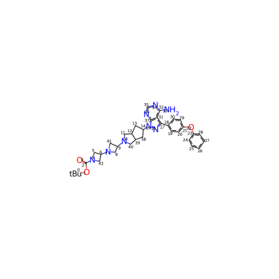 CC(C)(C)OC(=O)N1CC(N2CC(N3CC4CC(n5nc(-c6ccc(Oc7ccccc7)cc6)c6c(N)ncnc65)CC4C3)C2)C1